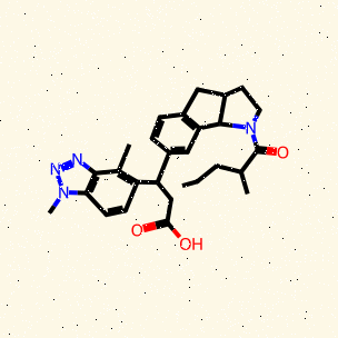 CCCC(C)C(=O)N1CCC2Cc3ccc(C(CC(=O)O)c4ccc5c(nnn5C)c4C)cc3C21